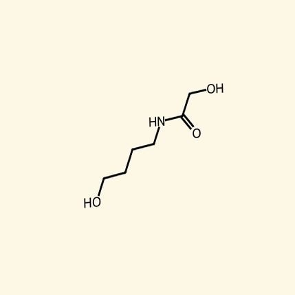 O=C(CO)NCCCCO